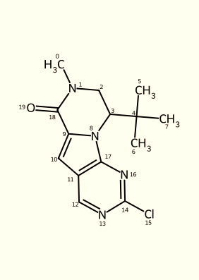 CN1CC(C(C)(C)C)n2c(cc3cnc(Cl)nc32)C1=O